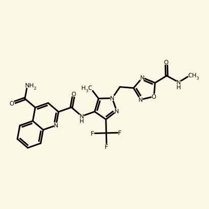 CNC(=O)c1nc(Cn2nc(C(F)(F)F)c(NC(=O)c3cc(C(N)=O)c4ccccc4n3)c2C)no1